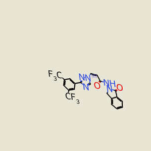 O=C(/C=C\n1cnc(-c2cc(C(F)(F)F)cc(C(F)(F)F)c2)n1)NN1Cc2ccccc2C1=O